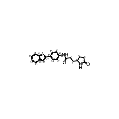 O=C(CCC1CCC(=O)N1)Nc1ccc(-c2nc3ccccc3s2)cc1